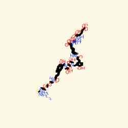 NC(=S)NCCOCCOCCNC(=O)CCc1ccc(O)c(CN(CCN(CC(=O)O)Cc2cc(CCC(=O)NCCCCC(NC(=O)NC(CCC(=O)O)C(=O)O)C(=O)O)ccc2O)CC(=O)O)c1